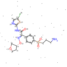 NCCCS(=O)(=O)c1ccc(/C(=N\O[C@@H]2CCOC2)C(=O)Nc2ncc(F)s2)cc1